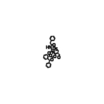 O=CC1=C(OC(=O)OC(c2ccccc2)c2ccccc2)N2C(=O)[C@@H](NC(=O)Cc3ccccc3)[C@H]2SC1